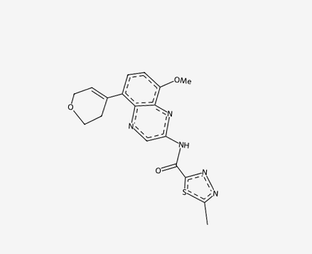 COc1ccc(C2=CCOCC2)c2ncc(NC(=O)c3nnc(C)s3)nc12